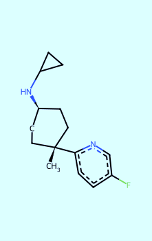 C[C@]1(c2ccc(F)cn2)CC[C@H](NC2CC2)CC1